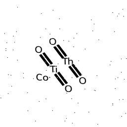 [Co].[O]=[Th]=[O].[O]=[Ti]=[O]